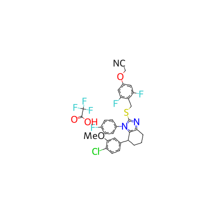 COc1cc(C2CCCc3nc(SCc4c(F)cc(OCC#N)cc4F)n(-c4ccc(F)cc4)c32)ccc1Cl.O=C(O)C(F)(F)F